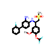 CCOc1cc(C(CS(C)(=O)=O)Nc2ccc(-c3ccccc3F)cc2N)ccc1OC(F)F